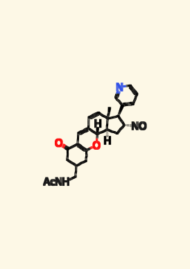 CC(=O)NCC1CC(=O)C2=C(C1)O[C@@H]1C(=C2)C=C[C@@]2(C)[C@H]1C[C@@H](N=O)[C@@H]2c1cccnc1